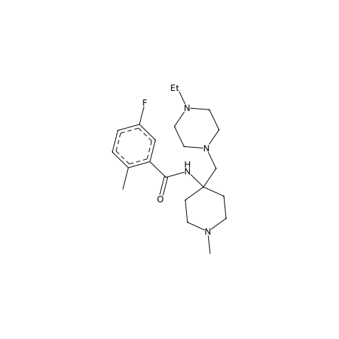 CCN1CCN(CC2(NC(=O)c3cc(F)ccc3C)CCN(C)CC2)CC1